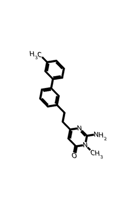 Cc1cccc(-c2cccc(CCc3cc(=O)n(C)c(N)n3)c2)c1